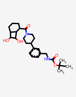 CC(C)(C)OC(=O)NCc1cccc(C2CCN(C(=O)C3CCCC4C(O)C(O)C34)CC2)c1